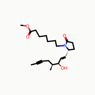 CC#CC[C@H](C)[C@H](O)C=C[C@H]1CCC(=O)N1CCCCCCC(=O)OC